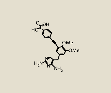 COc1cc(Cc2cnc(N)nc2N)cc(C#Cc2ccc(P(=O)(O)O)cc2)c1OC